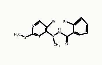 CSc1ncc(Br)c(N(C)NC(=O)c2ccccc2Br)n1